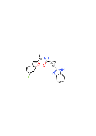 C[C@@H](NC(=O)[C@H]1C[C@@H]1c1nc2ccccc2[nH]1)c1cc2ccc(F)cc2o1